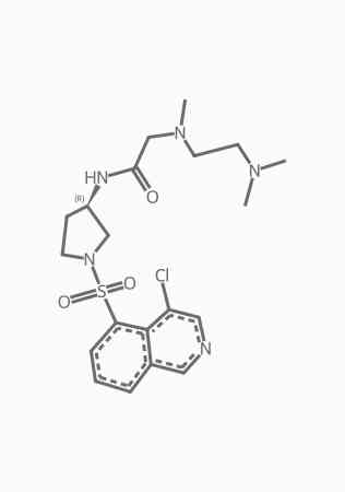 CN(C)CCN(C)CC(=O)N[C@@H]1CCN(S(=O)(=O)c2cccc3cncc(Cl)c23)C1